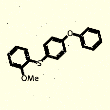 COc1ccccc1Sc1ccc(Oc2ccccc2)cc1